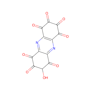 O=C1C(=O)C(O)C(=O)c2nc3c(=O)c(=O)c(=O)c(=O)c3nc21